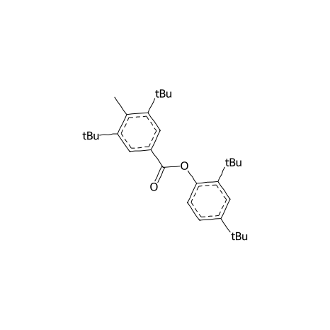 Cc1c(C(C)(C)C)cc(C(=O)Oc2ccc(C(C)(C)C)cc2C(C)(C)C)cc1C(C)(C)C